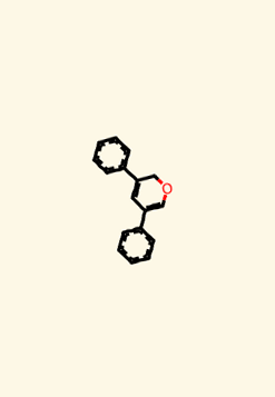 C1=C(c2ccccc2)C=C(c2ccccc2)CO1